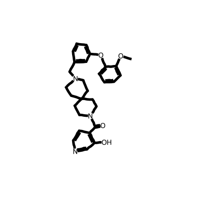 COc1ccccc1Oc1cccc(CN2CCC3(CC2)CCN(C(=O)c2ccncc2O)CC3)c1